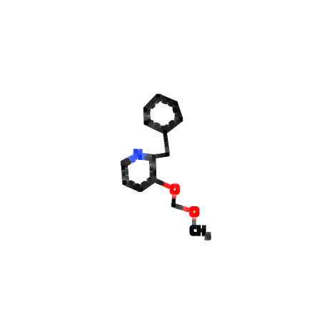 COCOc1cccnc1Cc1ccccc1